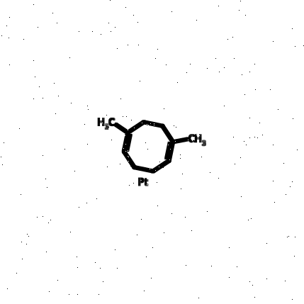 CC1=CCCC=C(C)CC1.[Pt]